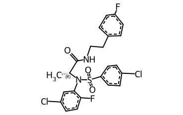 C[C@H](C(=O)NCCc1ccc(F)cc1)N(c1cc(Cl)ccc1F)S(=O)(=O)c1ccc(Cl)cc1